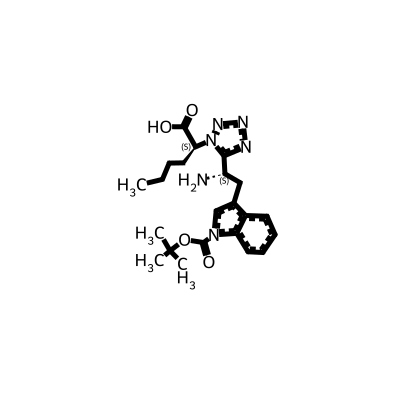 CCCC[C@@H](C(=O)O)n1nnnc1[C@@H](N)Cc1cn(C(=O)OC(C)(C)C)c2ccccc12